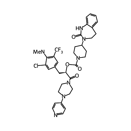 CNc1c(Cl)cc(C[C@@H](OC(=O)N2CCC(N3CCc4ccccc4NC3=O)CC2)C(=O)N2CCN(c3ccncc3)CC2)cc1C(F)(F)F